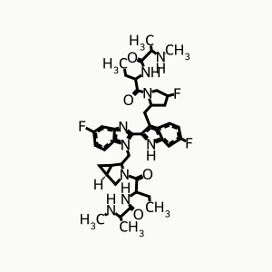 CCC(NC(=O)C(C)NC)C(=O)N1CC(F)CC1Cc1c(-c2nc3cc(F)ccc3n2CC2C3C[C@@H]3CN2C(=O)C(CC)NC(=O)C(C)NC)[nH]c2cc(F)ccc12